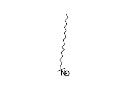 CCCCCCCCCCCCCCCCCC(C)(C)N=O